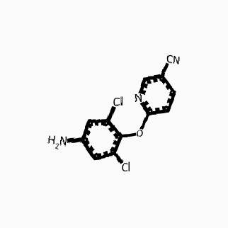 N#Cc1ccc(Oc2c(Cl)cc(N)cc2Cl)nc1